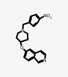 O=[N+]([O-])c1ccc(CN2CCC(Oc3ccc4cnccc4c3)CC2)cc1